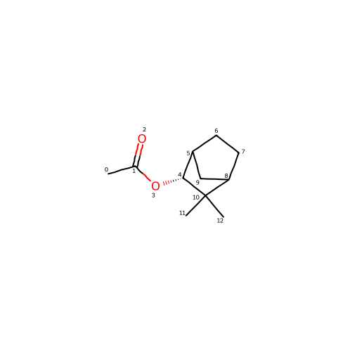 CC(=O)O[C@@H]1C2CCC(C2)C1(C)C